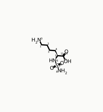 NCCCC[C@H](NS(N)(=O)=O)C(=O)O